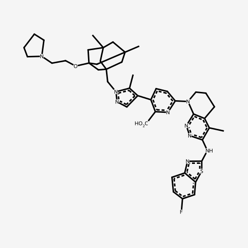 Cc1c(Nc2nc3ccc(F)cc3s2)nnc2c1CCCN2c1ccc(-c2cnn(CC34CC5(C)CC(C)(C3)CC(OCCN3CCCC3)(C5)C4)c2C)c(C(=O)O)n1